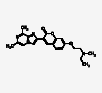 CCN(C)CCOc1ccc2cc(-c3cn4cc(C)nc(C)c4n3)c(=O)oc2c1